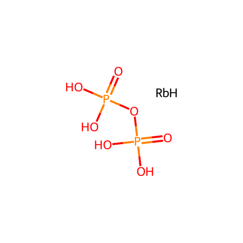 O=P(O)(O)OP(=O)(O)O.[RbH]